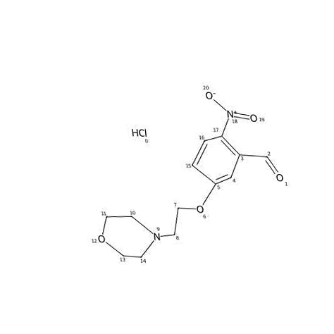 Cl.O=Cc1cc(OCCN2CCOCC2)ccc1[N+](=O)[O-]